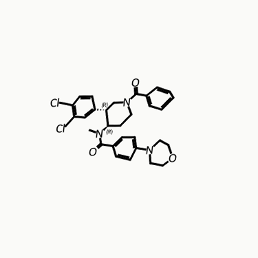 CN(C(=O)c1ccc(N2CCOCC2)cc1)[C@@H]1CCN(C(=O)c2ccccc2)C[C@H]1c1ccc(Cl)c(Cl)c1